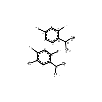 CC(O)c1cc(O)c(I)cc1F.CC(O)c1ccc(I)cc1F